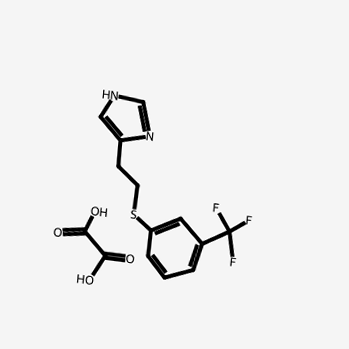 FC(F)(F)c1cccc(SCCc2c[nH]cn2)c1.O=C(O)C(=O)O